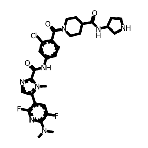 CN(C)c1nc(F)c(-c2cnc(C(=O)Nc3ccc(C(=O)N4CCC(C(=O)NC5CCNC5)CC4)c(Cl)c3)n2C)cc1F